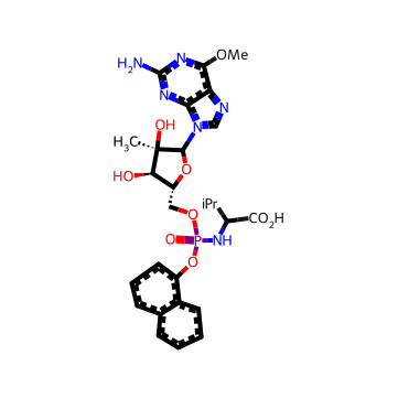 COc1nc(N)nc2c1ncn2C1O[C@H](COP(=O)(NC(C(=O)O)C(C)C)Oc2cccc3ccccc23)[C@@H](O)[C@@]1(C)O